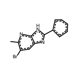 Cc1nc2[nH]c(-c3ccccc3)nc2cc1Br